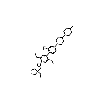 CCc1cc(-c2ccc(C3CCC(C4CCC(C)CC4)CC3)cc2F)c(CC)cc1OCC(CC)(CC)CC